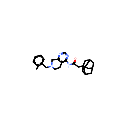 Cc1ccccc1CN1CCc2c(ncnc2NC(=O)CC23CC4CC(CC(C4)C2)C3)C1